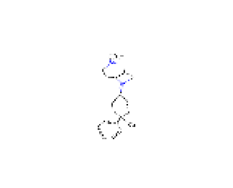 N#CC1(c2ccccc2)CCC(N2CC3CN(C(=O)O)CCC32)CC1